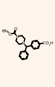 CC(C)(C)OC(=O)N1CCN(C(c2ccccc2)c2ccc(C(=O)O)cc2)CC1